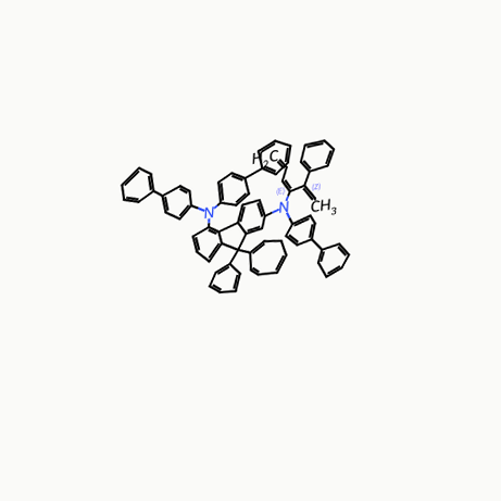 C=C/C=C(\C(=C/C)c1ccccc1)N(c1ccc(-c2ccccc2)cc1)c1ccc2c(c1)C(C1=CCC=CC=C1)(c1ccccc1)c1cccc(N(c3ccc(-c4ccccc4)cc3)c3ccc(-c4ccccc4)cc3)c1-2